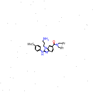 CSc1ccc(Nc2nc3ccc(C(=O)N(CC(C)C)CC(C)C)cc3n2CCCN)cc1